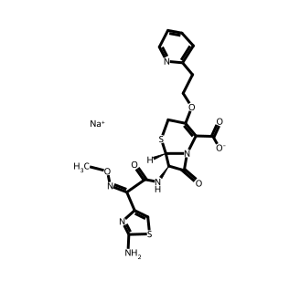 CO/N=C(\C(=O)N[C@@H]1C(=O)N2C(C(=O)[O-])=C(OCCc3ccccn3)CS[C@@H]12)c1csc(N)n1.[Na+]